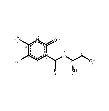 CCC(O[C@@H](S)CO)n1cc(F)c(N)nc1=O